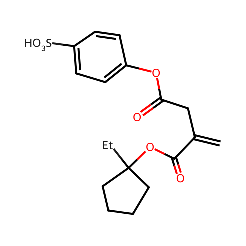 C=C(CC(=O)Oc1ccc(S(=O)(=O)O)cc1)C(=O)OC1(CC)CCCC1